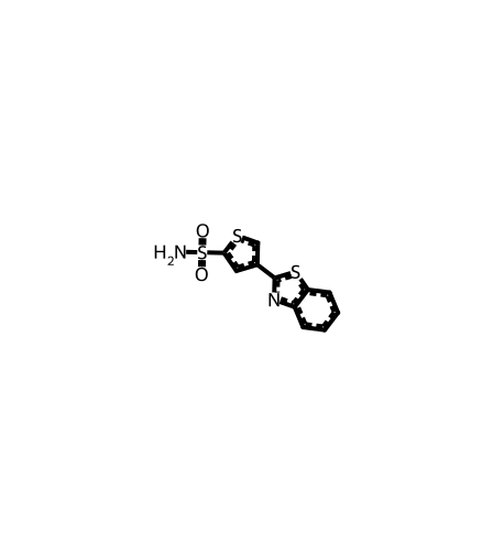 NS(=O)(=O)c1cc(-c2nc3ccccc3s2)cs1